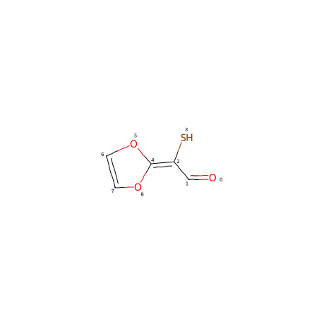 O=CC(S)=C1OC=CO1